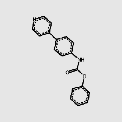 O=C(Nc1ccc(-c2ccncc2)cc1)Oc1ccccc1